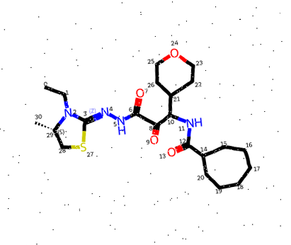 CCN1/C(=N/NC(=O)C(=O)C(NC(=O)C2CCCCCC2)C2CCOCC2)SC[C@@H]1C